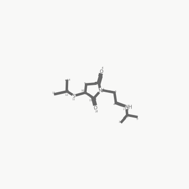 CC(C)NCCN1C(=O)CC(SC(C)C)C1=O